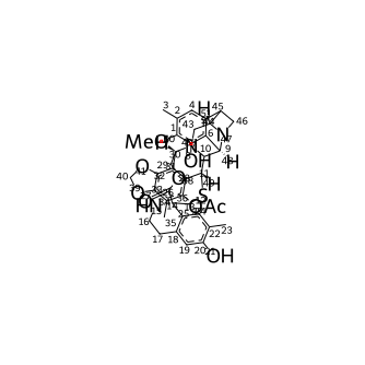 COc1c(C)cc2c(c1O)[C@@H]1C3[C@@H]4SC[C@]5(NCCc6cc(O)c(C)cc65)C(=O)OC[C@@H](c5c6c(c(C)c(OC(C)=O)c54)OCO6)N3C[C@@H]3C2CN31